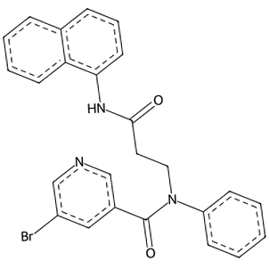 O=C(CCN(C(=O)c1cncc(Br)c1)c1ccccc1)Nc1cccc2ccccc12